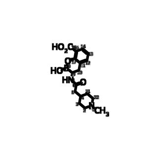 CN1CCC(CC(=O)N[C@H]2Cc3cccc(C(=O)O)c3OB2O)CC1